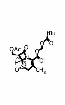 CC(=O)OC[C@H]1C(=O)N2C(C(=O)OCOC(=O)C(C)(C)C)=C(C)C[S+]([O-])[C@H]12